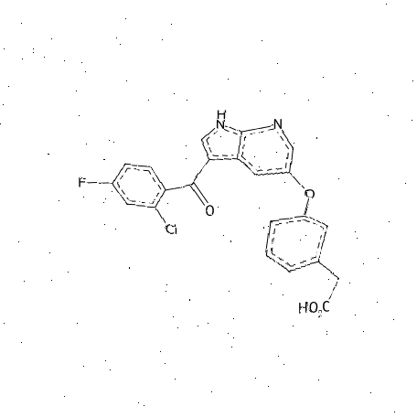 O=C(O)Cc1cccc(Oc2cnc3[nH]cc(C(=O)c4ccc(F)cc4Cl)c3c2)c1